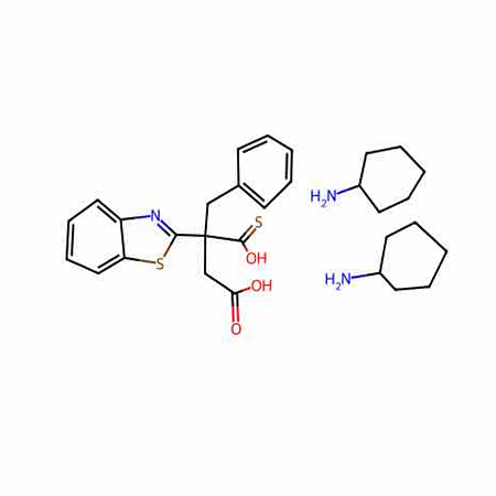 NC1CCCCC1.NC1CCCCC1.O=C(O)CC(Cc1ccccc1)(C(O)=S)c1nc2ccccc2s1